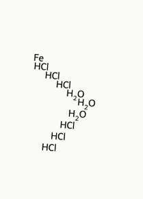 Cl.Cl.Cl.Cl.Cl.Cl.O.O.O.[Fe]